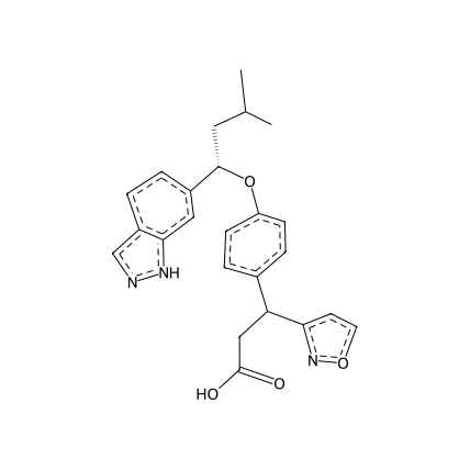 CC(C)C[C@H](Oc1ccc(C(CC(=O)O)c2ccon2)cc1)c1ccc2cn[nH]c2c1